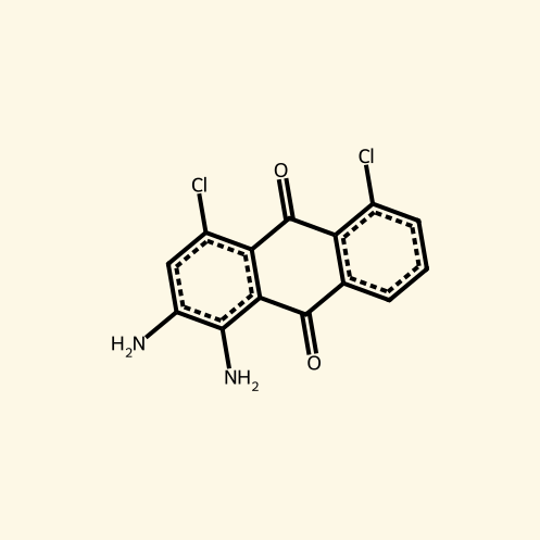 Nc1cc(Cl)c2c(c1N)C(=O)c1cccc(Cl)c1C2=O